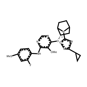 COc1c(Nc2ccc(SC)cc2F)ncnc1O[C@H]1CC2CCC1N2c1nc(C2CC2)no1